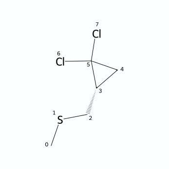 CSC[C@H]1CC1(Cl)Cl